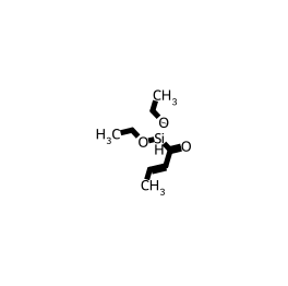 CC=CC(=O)[SiH](OCC)OCC